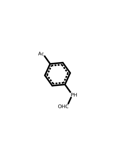 CC(=O)c1ccc(PC=O)cc1